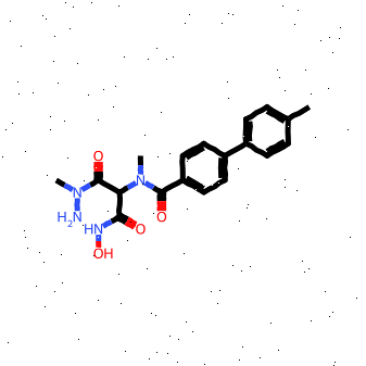 Cc1ccc(-c2ccc(C(=O)N(C)C(C(=O)NO)C(=O)N(C)N)cc2)cc1